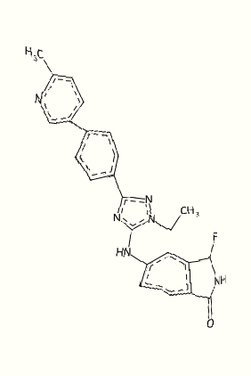 CCn1nc(-c2ccc(-c3ccc(C)nc3)cc2)nc1Nc1ccc2c(c1)C(F)NC2=O